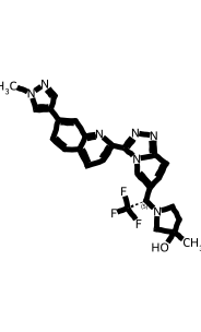 Cn1cc(-c2ccc3ccc(-c4nnc5ccc([C@H](N6CCC(C)(O)C6)C(F)(F)F)cn45)nc3c2)cn1